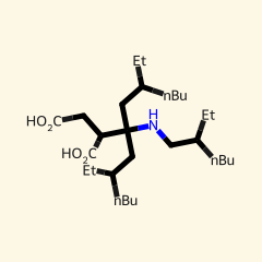 CCCCC(CC)CNC(CC(CC)CCCC)(CC(CC)CCCC)C(CC(=O)O)C(=O)O